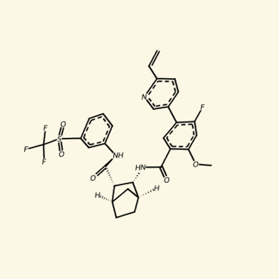 C=Cc1ccc(-c2cc(C(=O)N[C@@H]3[C@H]4CC[C@H](C4)[C@@H]3C(=O)Nc3cccc(S(=O)(=O)C(F)(F)F)c3)c(OC)cc2F)cn1